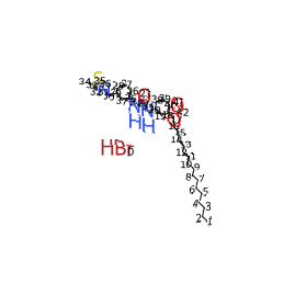 Br.CCCCCCCCCCCCCCCCOc1cc(NC(=O)Nc2cccc(CN3C=C(C)SC3)c2)ccc1OC